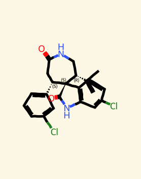 C=C(C)[C@H]1CNC(=O)C[C@@H](c2cccc(Cl)c2)[C@]12C(=O)Nc1cc(Cl)ccc12